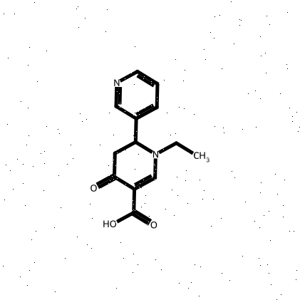 CCN1C=C(C(=O)O)C(=O)CC1c1cccnc1